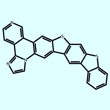 c1ccc2c(c1)sc1cc3sc4cc5c6cnccc6c6nccn6c5cc4c3cc12